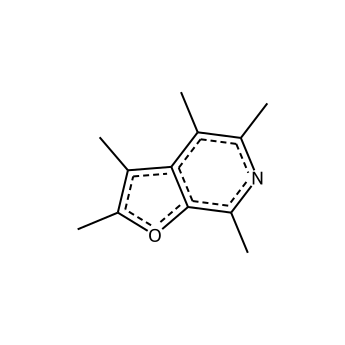 Cc1nc(C)c2oc(C)c(C)c2c1C